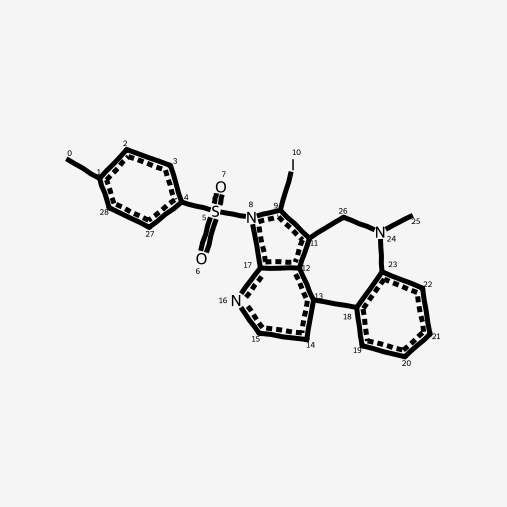 Cc1ccc(S(=O)(=O)n2c(I)c3c4c(ccnc42)-c2ccccc2N(C)C3)cc1